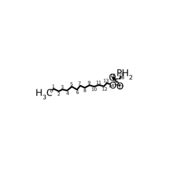 CCCCCCCCCCCCCCOS(=O)(=O)CP